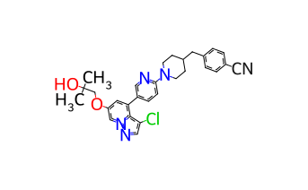 CC(C)(O)COc1cc(-c2ccc(N3CCC(Cc4ccc(C#N)cc4)CC3)nc2)c2c(Cl)cnn2c1